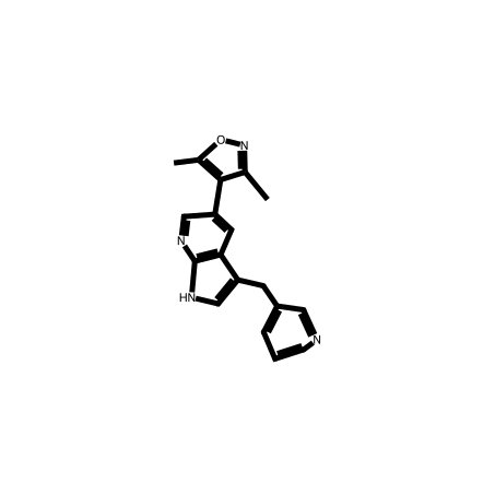 Cc1noc(C)c1-c1cnc2[nH]cc(Cc3cccnc3)c2c1